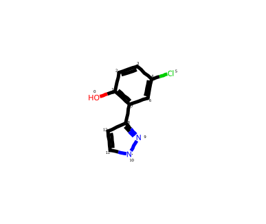 Oc1ccc(Cl)cc1C1=N[N]C=C1